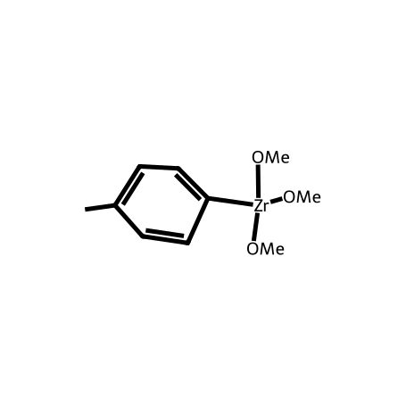 C[O][Zr]([O]C)([O]C)[c]1ccc(C)cc1